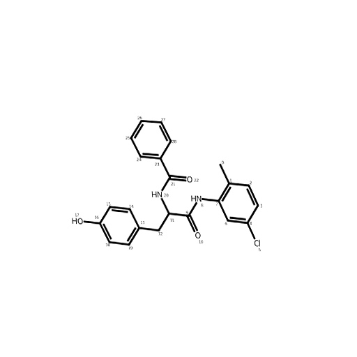 Cc1ccc(Cl)cc1NC(=O)C(Cc1ccc(O)cc1)NC(=O)c1ccccc1